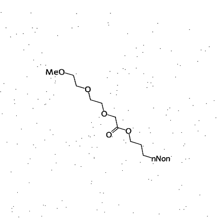 CCCCCCCCCCCCOC(=O)COCCOCCOC